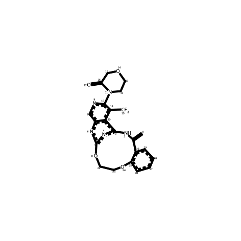 C=C1Nc2nc(nc3cnc(N4CCOCC4=O)c(C(F)(F)F)c23)OCCOc2ccccc21